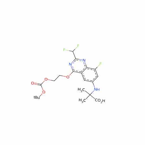 CC(C)(C)OC(=O)OCCOc1nc(C(F)F)nc2c(F)cc(NC(C)(C)C(=O)O)cc12